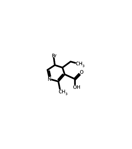 CCC1C(C(=O)O)=C(C)N=CC1Br